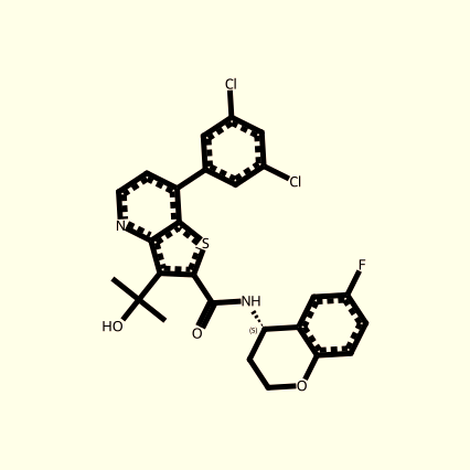 CC(C)(O)c1c(C(=O)N[C@H]2CCOc3ccc(F)cc32)sc2c(-c3cc(Cl)cc(Cl)c3)ccnc12